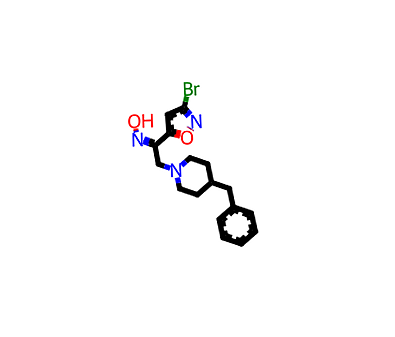 O/N=C(/CN1CCC(Cc2ccccc2)CC1)c1cc(Br)no1